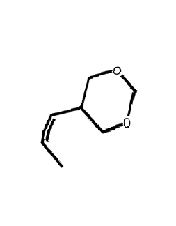 C/C=C\C1COCOC1